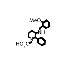 COc1ccccc1CNC1CCCN(CC(=O)O)C1c1ccccc1